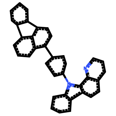 c1ccc2c(c1)-c1cccc3c(-c4ccc(-n5c6ccccc6c6ccc7cccnc7c65)cc4)ccc-2c13